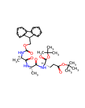 C[C@H](NC(=O)OCC1c2ccccc2-c2ccccc21)C(=O)N[C@@H](C)C(=O)N[C@@H](CCC(=O)OC(C)(C)C)C(=O)OC(C)(C)C